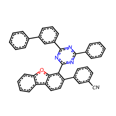 N#Cc1cccc(-c2ccc3c(oc4ccccc43)c2-c2nc(-c3ccccc3)nc(-c3cccc(-c4ccccc4)c3)n2)c1